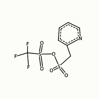 O=S(=O)(Cc1ccccn1)OS(=O)(=O)C(F)(F)F